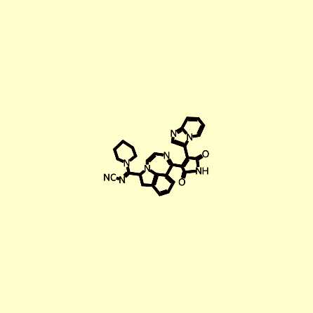 N#CN=C(C1Cc2cccc3c2N1C=CN=C3C1=C(c2cnc3ccccn23)C(=O)NC1=O)N1CCCCC1